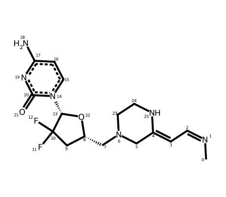 C/N=C\C=C1\CN(C[C@@H]2CC(F)(F)[C@H](n3ccc(N)nc3=O)O2)CCN1